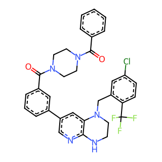 O=C(c1ccccc1)N1CCN(C(=O)c2cccc(-c3cnc4c(c3)N(Cc3cc(Cl)ccc3C(F)(F)F)CCN4)c2)CC1